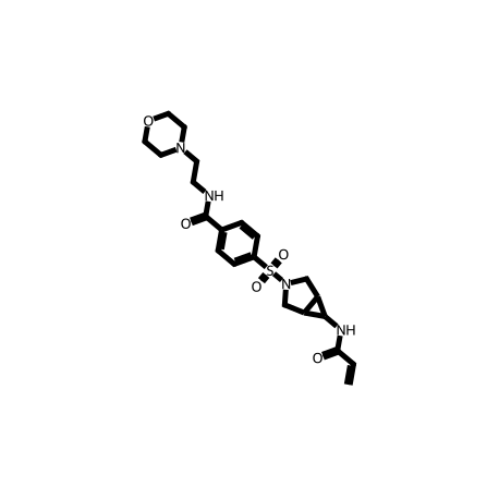 C=CC(=O)NC1C2CN(S(=O)(=O)c3ccc(C(=O)NCCN4CCOCC4)cc3)CC21